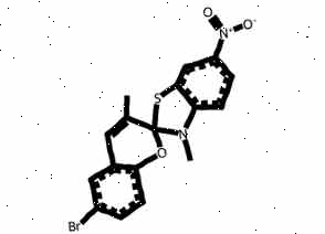 CC1=Cc2cc(Br)ccc2OC12Sc1cc([N+](=O)[O-])ccc1N2C